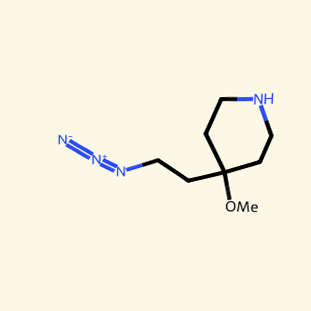 COC1(CCN=[N+]=[N-])CCNCC1